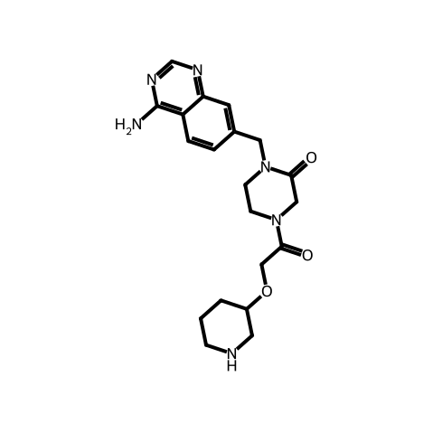 Nc1ncnc2cc(CN3CCN(C(=O)COC4CCCNC4)CC3=O)ccc12